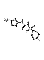 Cc1ccc(S(=O)(=O)NC(=O)Nc2ncc([N+](=O)[O-])s2)cc1